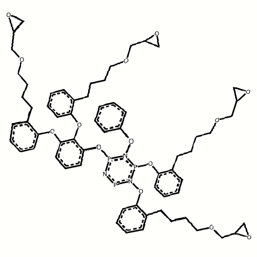 c1ccc(On2p(Oc3cccc(Oc4ccccc4CCCCOCC4CO4)c3Oc3ccccc3CCCCOCC3CO3)npn(Oc3ccccc3CCCCOCC3CO3)p2Oc2ccccc2CCCCOCC2CO2)cc1